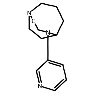 c1cncc(N2CCN3CCCC2CC3)c1